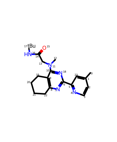 Cc1ccnc(-c2nc3c(c(N(C)CC(=O)NC(C)(C)C)n2)CCCC3)c1